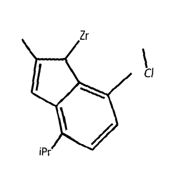 CC1=Cc2c(C(C)C)ccc(C)c2[CH]1[Zr].CCl